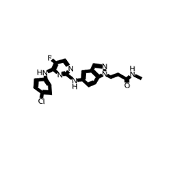 CNC(=O)CCn1ncc2cc(Nc3ncc(F)c(Nc4ccc(Cl)cc4)n3)ccc21